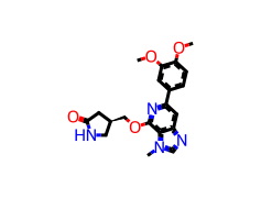 COc1ccc(-c2cc3ncn(C)c3c(OC[C@H]3CNC(=O)C3)n2)cc1OC